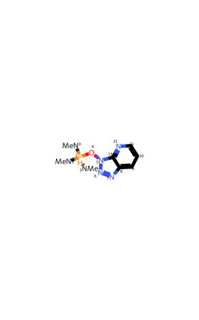 CN[PH](NC)(NC)On1nnc2cccnc21